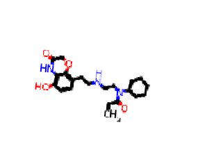 C=CC(=O)N(CCNCCc1ccc(O)c2c1OCC(=O)N2)C1CCCCC1